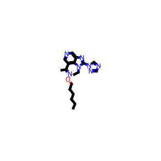 CCCCCCON=C(C)c1cncc2nc(-n3cncn3)n(CC)c12